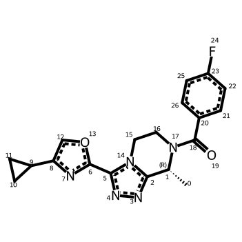 C[C@@H]1c2nnc(-c3nc(C4CC4)co3)n2CCN1C(=O)c1ccc(F)cc1